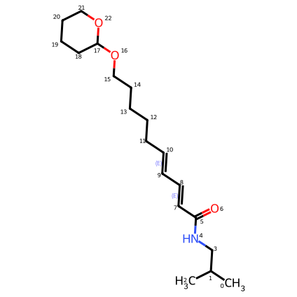 CC(C)CNC(=O)/C=C/C=C/CCCCCOC1CCCCO1